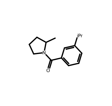 CC(C)c1cccc(C(=O)N2CCCC2C)c1